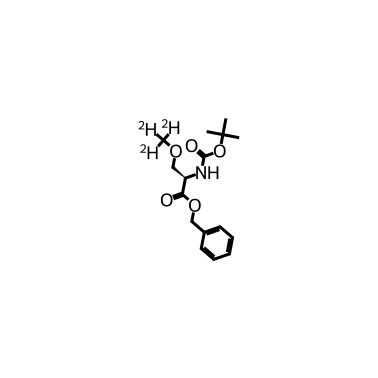 [2H]C([2H])([2H])OC[C@@H](NC(=O)OC(C)(C)C)C(=O)OCc1ccccc1